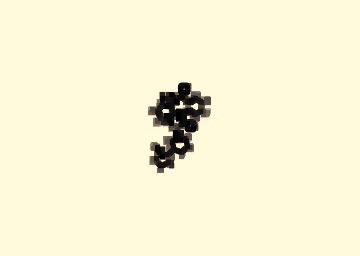 CN1CCCC1C1CCCN(CC(=O)N2c3ccccc3C(=O)Nc3cccnc32)C1